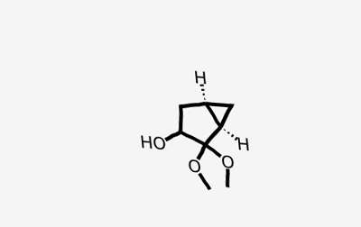 COC1(OC)C(O)C[C@H]2C[C@H]21